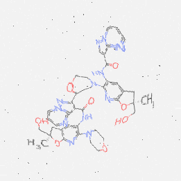 C[C@@]1(CO)Cc2cc(NC(=O)c3cnn4cccnc34)c(N3CCOC(c4nn5cccnc5c4C(=O)Nc4cc5c(nc4N4CCOCC4)O[C@@](C)(CO)C5)C3)nc2O1